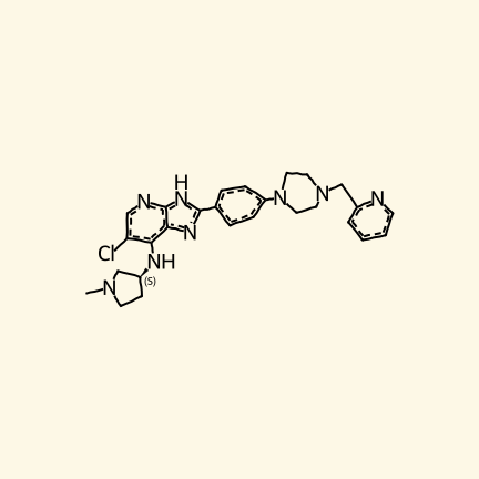 CN1CC[C@H](Nc2c(Cl)cnc3[nH]c(-c4ccc(N5CCN(Cc6ccccn6)CC5)cc4)nc23)C1